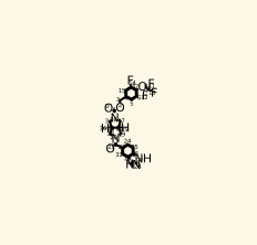 O=C(OCc1ccc(OC(F)(F)F)c(F)c1)N1C[C@@H]2CN(C(=O)c3ccc4[nH]nnc4c3)C[C@H]2C1